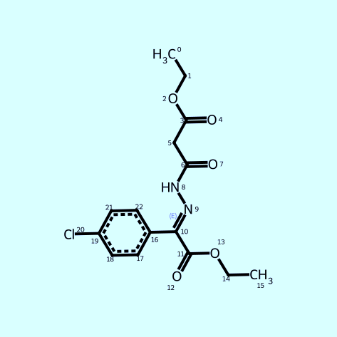 CCOC(=O)CC(=O)N/N=C(/C(=O)OCC)c1ccc(Cl)cc1